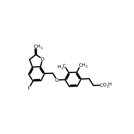 C=C1Cc2cc(F)cc(COc3ccc(CCC(=O)O)c(C)c3C)c2O1